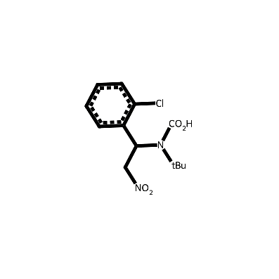 CC(C)(C)N(C(=O)O)C(C[N+](=O)[O-])c1ccccc1Cl